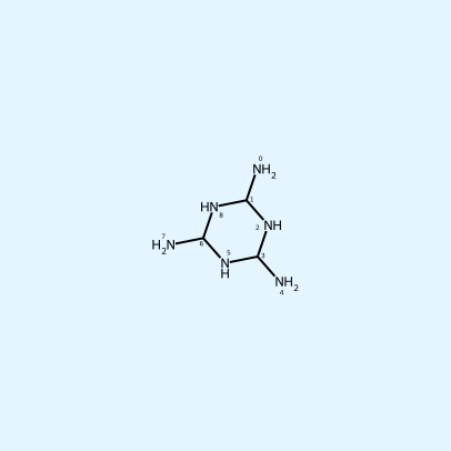 NC1NC(N)NC(N)N1